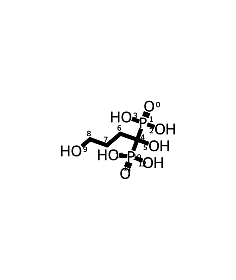 O=P(O)(O)C(O)(CCCO)P(=O)(O)O